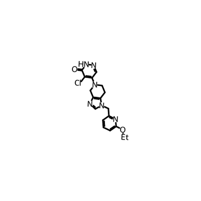 CCOc1cccc(Cn2cnc3c2CCN(c2cn[nH]c(=O)c2Cl)C3)n1